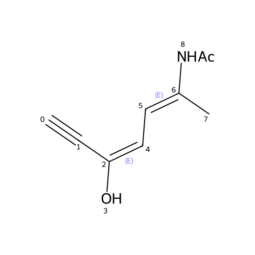 C#C/C(O)=C\C=C(/C)NC(C)=O